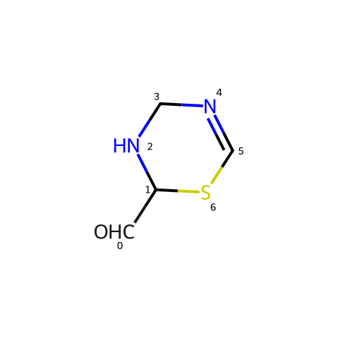 O=CC1NCN=CS1